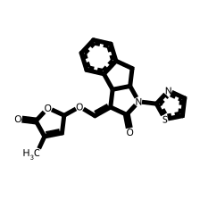 CC1=CC(O/C=C2/C(=O)N(c3nccs3)C3Cc4ccccc4C23)OC1=O